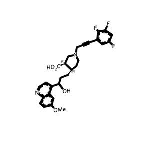 COc1ccc2nccc(C(O)CC[C@@H]3CCN(CC#Cc4cc(F)cc(F)c4F)C[C@@H]3C(=O)O)c2c1